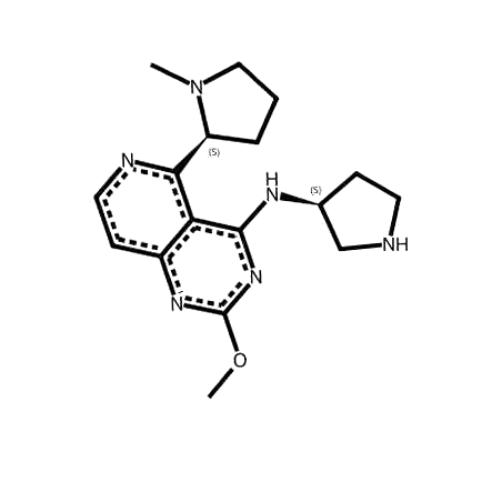 COc1nc(N[C@H]2CCNC2)c2c([C@@H]3CCCN3C)nccc2n1